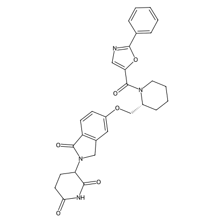 O=C1CCC(N2Cc3cc(OC[C@H]4CCCCN4C(=O)c4cnc(-c5ccccc5)o4)ccc3C2=O)C(=O)N1